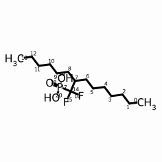 CCCCCCCC(CCCCCC)C(F)(F)P(=O)(O)O